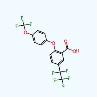 O=C(O)c1cc(C(F)(F)C(F)(F)F)ccc1Oc1ccc(OC(F)(F)F)cc1